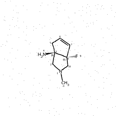 CN1C[C@]2(N)CC=C[C@@]2(F)C1